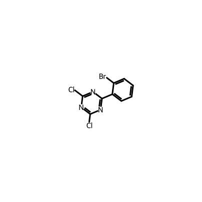 Clc1nc(Cl)nc(-c2ccccc2Br)n1